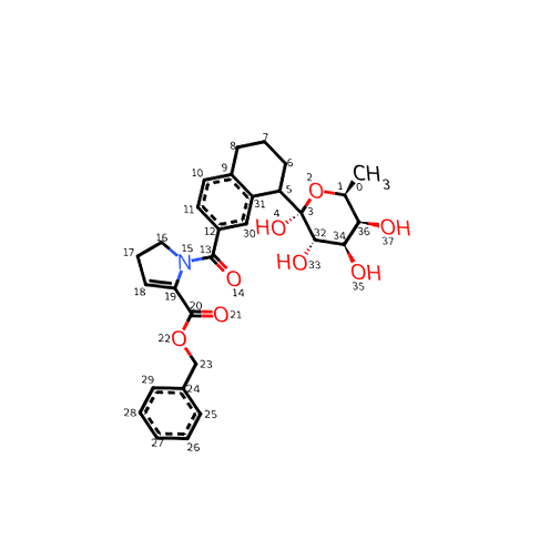 C[C@@H]1O[C@](O)(C2CCCc3ccc(C(=O)N4CCC=C4C(=O)OCc4ccccc4)cc32)[C@@H](O)[C@H](O)[C@@H]1O